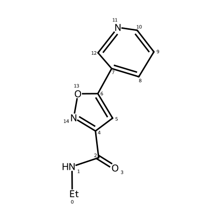 CCNC(=O)c1cc(-c2cccnc2)on1